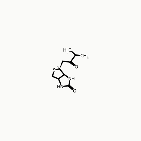 CC(C)C(=O)C[C@@H]1SCC2NC(=O)NC21